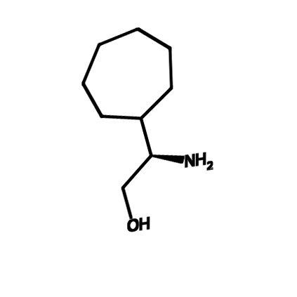 N[C@@H](CO)C1CCCCCC1